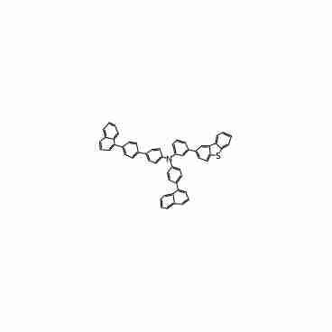 c1cc(-c2ccc3sc4ccccc4c3c2)cc(N(c2ccc(-c3ccc(-c4cccc5ccccc45)cc3)cc2)c2ccc(-c3cccc4ccccc34)cc2)c1